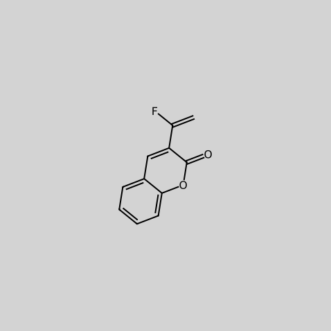 C=C(F)c1cc2ccccc2oc1=O